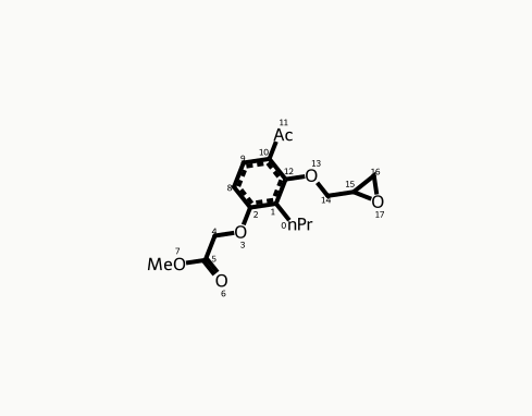 CCCc1c(OCC(=O)OC)ccc(C(C)=O)c1OCC1CO1